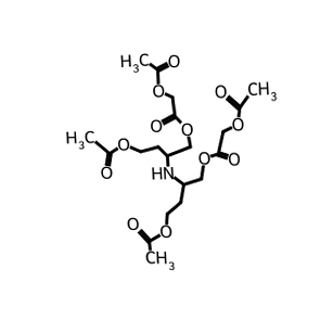 CC(=O)OCCC(COC(=O)COC(C)=O)NC(CCOC(C)=O)COC(=O)COC(C)=O